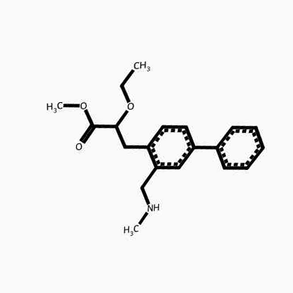 CCOC(Cc1ccc(-c2ccccc2)cc1CNC)C(=O)OC